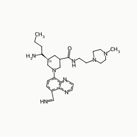 CCCC(N)[C@H]1CC(C(=O)NCCN2CCN(C)CC2)CN(c2ccc(C=N)c3nccnc23)C1